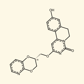 O=c1nc(OC[C@@H]2COc3ncccc3O2)cc2n1CCc1cc(O)ccc1-2